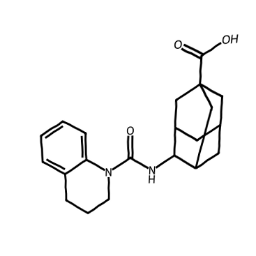 O=C(NC1C2CC3CC1CC(C(=O)O)(C3)C2)N1CCCc2ccccc21